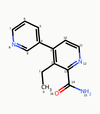 CCc1c(-c2cccnc2)ccnc1C(N)=O